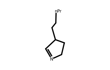 CCCCCC1C=NCC1